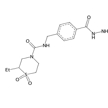 CCC1CN(C(=O)NCc2ccc(C(=O)NN)cc2)CCS1(=O)=O